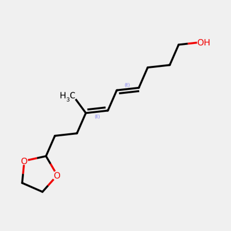 C/C(=C\C=C\CCCO)CCC1OCCO1